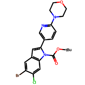 CC(C)(C)OC(=O)n1c(-c2ccc(N3CCOCC3)nc2)cc2cc(Br)c(Cl)cc21